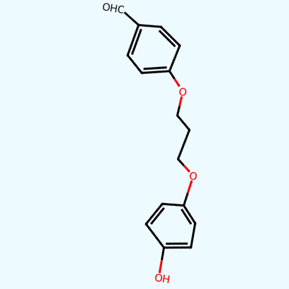 O=Cc1ccc(OCCCOc2ccc(O)cc2)cc1